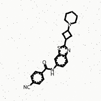 N#Cc1ccc(C(=O)Nc2ccc3nc(C4CC(N5CCCCC5)C4)sc3c2)cc1